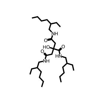 CCCCC(CC)CNC(=O)CC(O)(CC(=O)NCC(CC)CCCC)C(=O)NCC(CC)CCCC